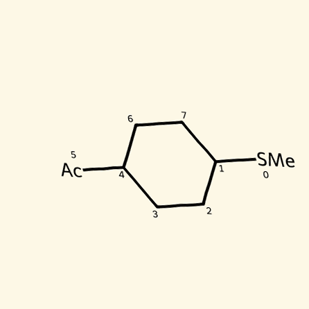 CSC1CCC(C(C)=O)CC1